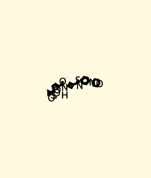 CS(=O)(=O)C1(c2ccc(C(=O)NC34CC(c5nc6cc(N7CCOCC7)ccc6s5)(C3)C4)o2)CC1